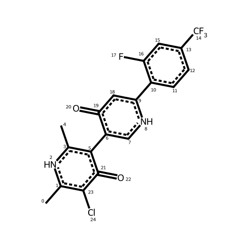 Cc1[nH]c(C)c(-c2c[nH]c(-c3ccc(C(F)(F)F)cc3F)cc2=O)c(=O)c1Cl